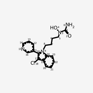 NC(=O)N(O)CCCCn1c(-c2cccnc2)c(Cl)c2ccccc21